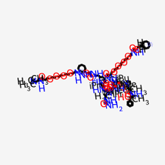 CC[C@H](C)[C@@H]([C@@H](CC(=O)N1CCC[C@H]1[C@H](OC)[C@@H](C)C(=O)N[C@H](C)[C@@H](O)c1ccccc1)OC)N(C)C(=O)[C@@H](NC(=O)[C@H](C(C)C)N(C)C(=O)[C@H](CCCNC(N)=O)NC(=O)[C@@H](NC(=O)[C@@H](CCCCNC(=O)COC1CCCCC/C(NCCOCCOCCOCCOCCC(=O)NCC[N+](C)(C)C)=C\1N)NC(=O)CCOCCOCCOCCOCCNC(=O)OC[C@@H]1[C@@H]2CC/C=C\CC[C@@H]21)C(C)C)C(C)C